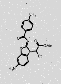 CCC(C(=O)OC)n1c(=NC(=O)c2ccc(C)cc2)sc2cc(N)ccc21